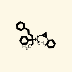 CCC(CC=Cc1ccccc1)(c1ccccc1)N(C)C[C@@H]1C[C@H]1c1ccccc1